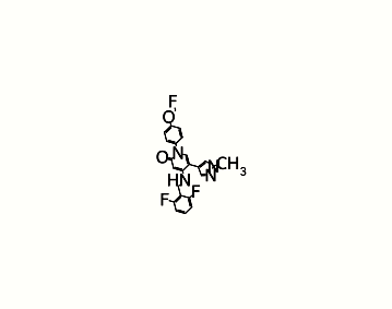 Cn1cc(-c2cn(-c3ccc(OCF)cc3)c(=O)cc2NCc2c(F)cccc2F)cn1